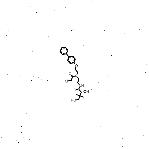 CC(C)(CO)[C@@H](O)C(=O)NCCN(CCOc1ccc(-c2ccccc2)cc1)C(=O)CCl